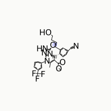 COC(=O)C1=C(C)N(c2cccc(C(F)(F)F)c2)c2n[nH]c(=O)n2[C@@H]1c1ccc(C#N)cc1/C=C/CCO